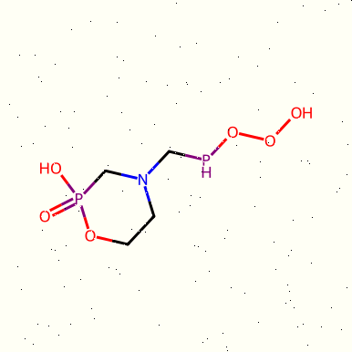 O=P1(O)CN(CPOOO)CCO1